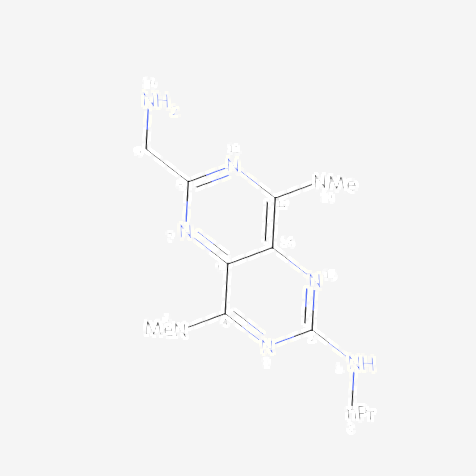 CCCNc1nc(NC)c2nc(CN)nc(NC)c2n1